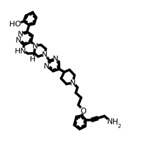 NCC#Cc1ccccc1OCCCCN1CCC(c2cnc(N3CCN4c5cc(-c6ccccc6O)nnc5NC[C@H]4C3)nc2)CC1